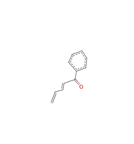 C=CC=CC(=O)c1ccccc1